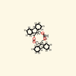 B1OCC2(COOCC3(CO1)c1ccccc1-c1ccccc13)c1ccccc1-c1ccccc12